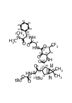 CN(C)C(=O)[C@@H](NC(=O)CNC(=O)C(=O)C(CCC(F)(F)F)NC(=O)[C@H]1C(C(=O)[C@@H](NC(=O)OC(C)(C)C)C(C)(C)C)C[C@H]2[C@@H]1C2(C)C)c1ccccc1